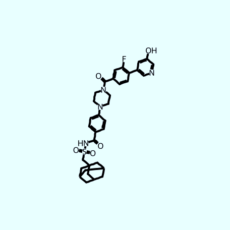 O=C(NS(=O)(=O)CC12CC3CC(CC(C3)C1)C2)c1ccc(N2CCN(C(=O)c3ccc(-c4cncc(O)c4)c(F)c3)CC2)cc1